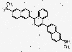 C[SiH2]c1ccc2cc(-c3ccc(-c4ccc5cc([SiH2]C)ccc5c4)c4ccccc34)ccc2c1